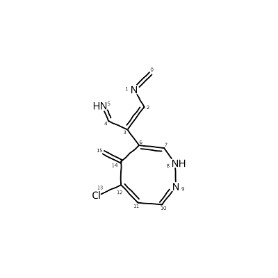 C=N/C=C(C=N)/C1=C/N/N=C\C=C(\Cl)C1=C